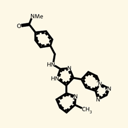 CNC(=O)c1ccc(CNc2nc(-c3ccn4ncnc4c3)c(-c3cccc(C)n3)[nH]2)cc1